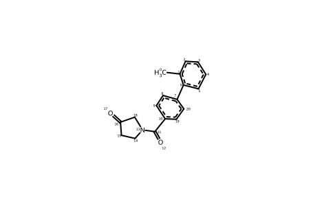 Cc1ccccc1-c1ccc(C(=O)N2CCC(=O)C2)cc1